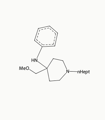 CCCCCCCN1CCC(COC)(Nc2ccccc2)CC1